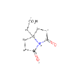 O=C(O)CC12CCC(=O)N1C(=O)CC2